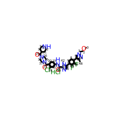 COCCn1cc(-c2ccc(-c3cnc(C(=O)Nc4ccc(C(=O)N5CCN(C(=O)C6CCNCC6)CC5)c(Cl)c4)n3C)c(F)c2F)c(C)n1.Cl